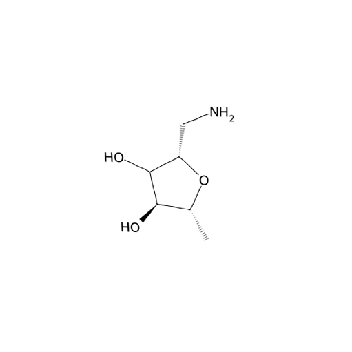 C[C@H]1O[C@@H](CN)C(O)[C@@H]1O